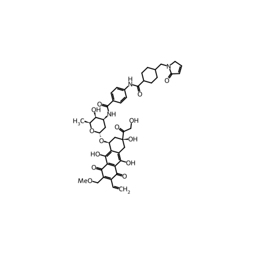 C=CC1=C(COC)C(=O)c2c(O)c3c(c(O)c2C1=O)C[C@@](O)(C(=O)CO)C[C@@H]3O[C@H]1C[C@H](NC(=O)c2ccc(NC(=O)C3CCC(CN4CC=CC4=O)CC3)cc2)[C@H](O)[C@H](C)O1